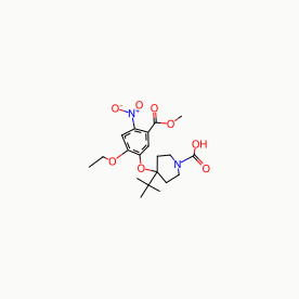 CCOc1cc([N+](=O)[O-])c(C(=O)OC)cc1OC1(C(C)(C)C)CCN(C(=O)O)CC1